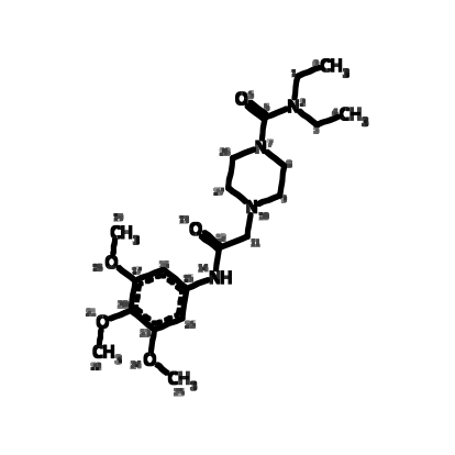 CCN(CC)C(=O)N1CCN(CC(=O)Nc2cc(OC)c(OC)c(OC)c2)CC1